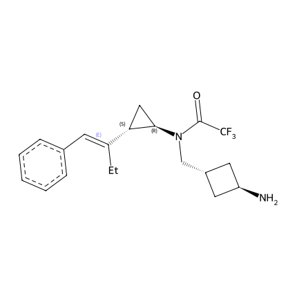 CC/C(=C\c1ccccc1)[C@@H]1C[C@H]1N(C[C@H]1C[C@H](N)C1)C(=O)C(F)(F)F